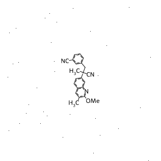 COc1nc2cc(C(C)(C#N)Cc3cccc(C#N)c3)ccc2cc1C